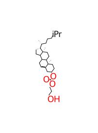 CC(C)CCC[C@@H](C)[C@H]1CCC2C3CC=C4C[C@@H](OC(=O)OCCCO)CC[C@]4(C)C3CC[C@@]21C